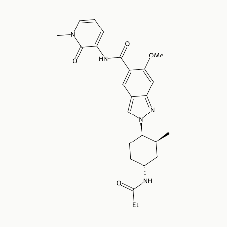 CCC(=O)N[C@@H]1CC[C@@H](n2cc3cc(C(=O)Nc4cccn(C)c4=O)c(OC)cc3n2)[C@@H](C)C1